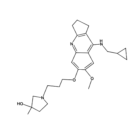 COc1cc2c(NCC3CC3)c3c(nc2cc1OCCCN1CCC(C)(O)C1)CCC3